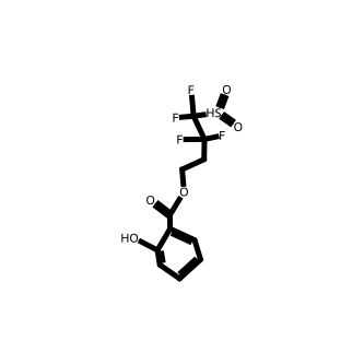 O=C(OCCC(F)(F)C(F)(F)[SH](=O)=O)c1ccccc1O